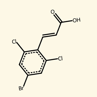 O=C(O)C=Cc1c(Cl)cc(Br)cc1Cl